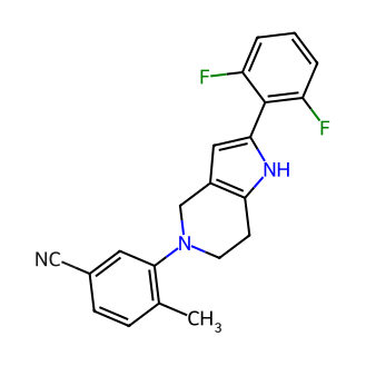 Cc1ccc(C#N)cc1N1CCc2[nH]c(-c3c(F)cccc3F)cc2C1